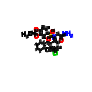 COc1ccccc1Cc1cc(Cl)ccc1N(CC(N)=O)S(=O)(=O)c1ccc2c(c1)OC(C)O2